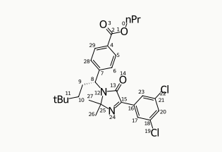 CCCOC(=O)c1ccc([C@@H](CCC(C)(C)C)N2C(=O)C(c3cc(Cl)cc(Cl)c3)=NC2(C)C)cc1